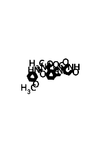 COc1cccc(NC(=O)N(C)C(=O)c2cccc3c2C(=O)N([C@@]2(C)CCC(=O)NC2=O)C3)c1